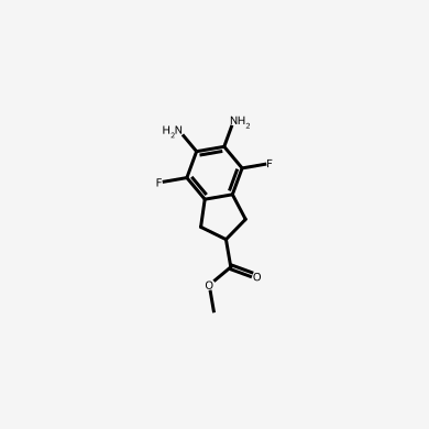 COC(=O)C1Cc2c(F)c(N)c(N)c(F)c2C1